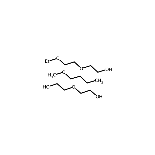 CCCCOC.CCOCCOCCO.OCCOCCO